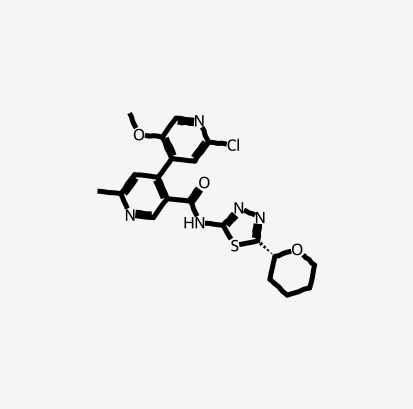 COc1cnc(Cl)cc1-c1cc(C)ncc1C(=O)Nc1nnc([C@H]2CCCCO2)s1